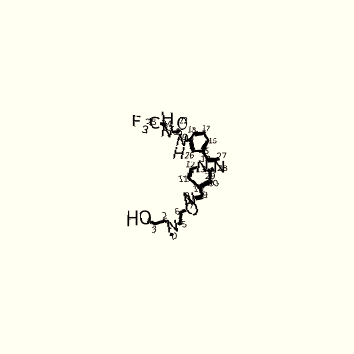 CN(CCO)CCO/N=C/c1ccn2c(-c3cccc(NC(=O)NCC(F)(F)F)c3)cnc2c1